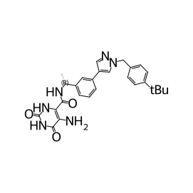 C[C@@H](NC(=O)c1[nH]c(=O)[nH]c(=O)c1N)c1cccc(-c2cnn(Cc3ccc(C(C)(C)C)cc3)c2)c1